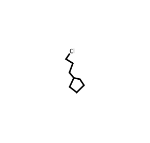 ClCCCC1C[CH]CC1